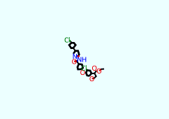 CCOC(=O)C1CCOc2cc(Oc3ccc(C(=O)Nc4ccc(-c5ccc(Cl)cc5)cn4)cc3)c(Cl)cc21